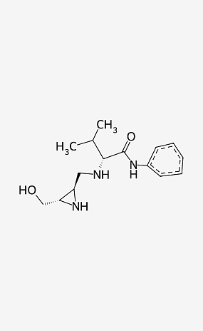 CC(C)[C@@H](NC[C@H]1N[C@@H]1CO)C(=O)Nc1ccccc1